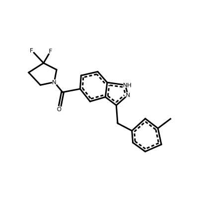 Cc1cccc(Cc2n[nH]c3ccc(C(=O)N4CCC(F)(F)C4)cc23)c1